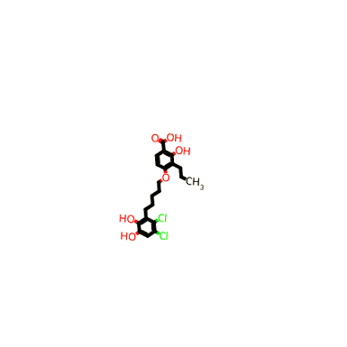 CCCc1c(OCCCCCc2c(O)c(O)cc(Cl)c2Cl)ccc(C(=O)O)c1O